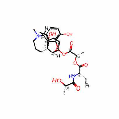 CC(C)C[C@H](NC(=O)[C@H](C)O)C(=O)O[C@@H](C)C(=O)OC1=CC[C@@]2(O)[C@H]3Cc4ccc(O)c5c4[C@@]2(CCCN3C)[C@H]1O5